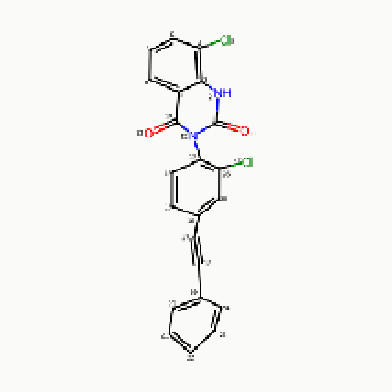 O=c1[nH]c2c(Cl)cccc2c(=O)n1-c1ccc(C#Cc2ccccc2)cc1Cl